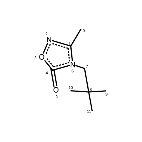 Cc1noc(=O)n1CC(C)(C)C